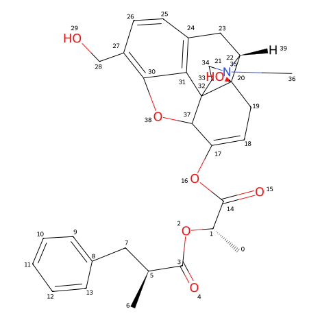 C[C@H](OC(=O)[C@@H](C)Cc1ccccc1)C(=O)OC1=CC[C@@]2(O)[C@H]3Cc4ccc(CO)c5c4C2(CCN3C)C1O5